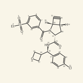 CCS(=O)(=O)c1cccc(C(=O)N2[C@@H](C(=O)N[C@@H](c3ccc(Cl)cc3)C3COC3)C[C@H]3C#C[C@H]32)c1